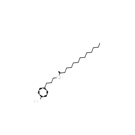 CCCCCCCCCCCCC(=O)NCCCc1ccc(O)cc1